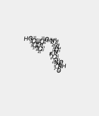 O=C1CCC(N2Cc3cc(F)c(N4CCN(CC5CCN(CCOc6ccc([C@@H]7c8ccc(O)cc8CC[C@@H]7c7ccccc7)cc6)CC5)CC4)cc3C2)C(=O)N1